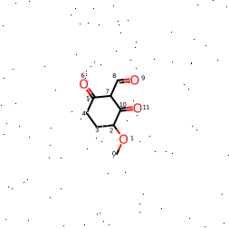 COC1CCC(=O)C(C=O)C1=O